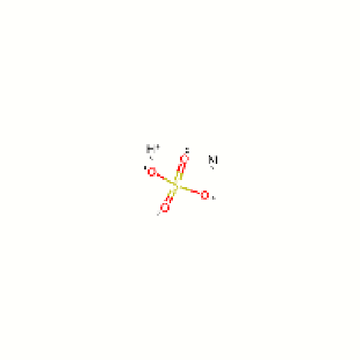 O=S(=O)([O-])[O-].[H+].[Ni]